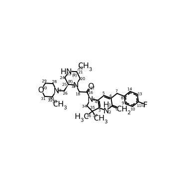 C=C1NC2=C(C=C1Cc1ccc(F)cc1)N(C(=O)CN1C[C@@H](C)NC[C@@H]1CN1CCOC[C@H]1C)CC2(C)C